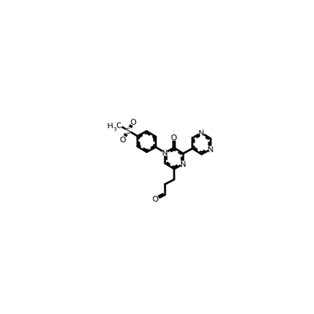 CS(=O)(=O)c1ccc(-n2cc(CCC=O)nc(-c3cncnc3)c2=O)cc1